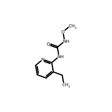 CCc1cccnc1NC(=O)NOC